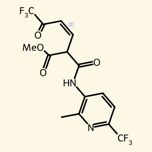 COC(=O)C(/C=C\C(=O)C(F)(F)F)C(=O)Nc1ccc(C(F)(F)F)nc1C